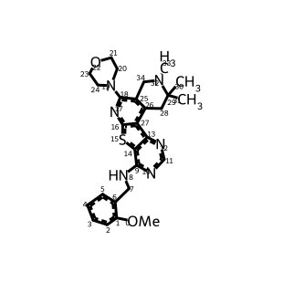 COc1ccccc1CNc1ncnc2c1sc1nc(N3CCOCC3)c3c(c12)CC(C)(C)N(C)C3